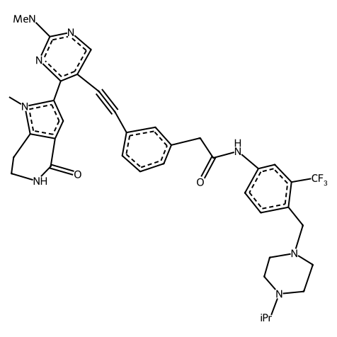 CNc1ncc(C#Cc2cccc(CC(=O)Nc3ccc(CN4CCN(C(C)C)CC4)c(C(F)(F)F)c3)c2)c(-c2cc3c(n2C)CCNC3=O)n1